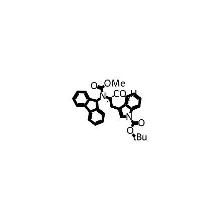 COC(=O)N(C1c2ccccc2-c2ccccc21)[C@@H](Cc1cn(C(=O)OC(C)(C)C)c2ccccc12)C(=O)O